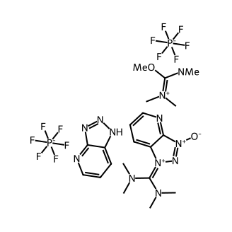 CN(C)C(N(C)C)=[N+]1N=[N+]([O-])c2ncccc21.CNC(OC)=[N+](C)C.F[P-](F)(F)(F)(F)F.F[P-](F)(F)(F)(F)F.c1cnc2nn[nH]c2c1